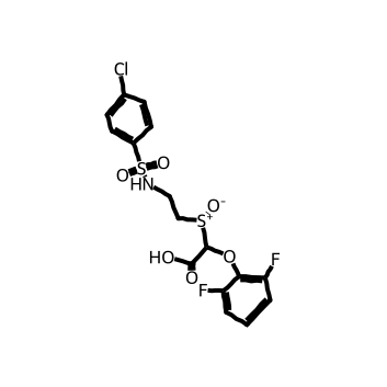 O=C(O)C(Oc1c(F)cccc1F)[S+]([O-])CCNS(=O)(=O)c1ccc(Cl)cc1